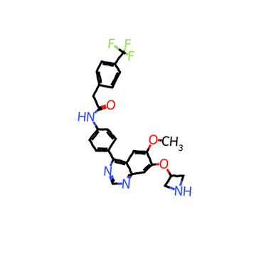 COc1cc2c(-c3ccc(NC(=O)Cc4ccc(C(F)(F)F)cc4)cc3)ncnc2cc1OC1CNC1